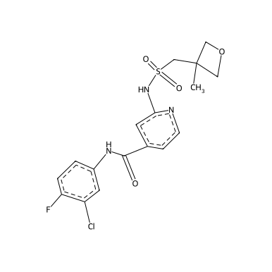 CC1(CS(=O)(=O)Nc2cc(C(=O)Nc3ccc(F)c(Cl)c3)ccn2)COC1